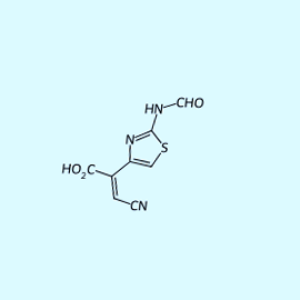 N#C/C=C(/C(=O)O)c1csc(NC=O)n1